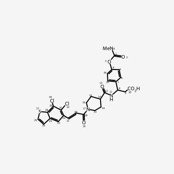 CNC(=O)Oc1ccc(C(CC(=O)O)NC(=O)C2CCN(C(=O)/C=C/c3cc4ccsc4c(Cl)c3Cl)CC2)cc1